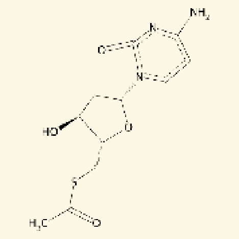 CC(=O)SC[C@H]1O[C@@H](n2ccc(N)nc2=O)C[C@@H]1O